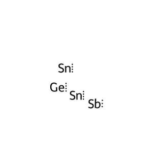 [Ge].[Sb].[Sn].[Sn]